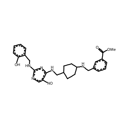 COC(=O)c1cccc(CNC2CCC(CNc3nc(NCc4ccccc4O)ncc3N=O)CC2)c1